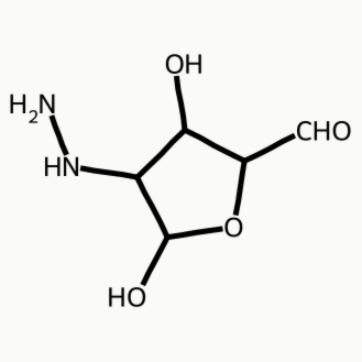 NNC1C(O)OC(C=O)C1O